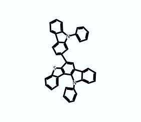 c1ccc(-n2c3ccccc3c3ccc(-c4cc5c6ccccc6n(-c6ccccc6)c5c5c4sc4ccccc45)cc32)cc1